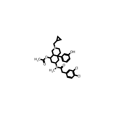 CC(=O)OC1CC(N(C)C(=O)Cc2ccc(Cl)c(Cl)c2)CC2(c3cccc(O)c3)CCN(CC3CC3)CC12